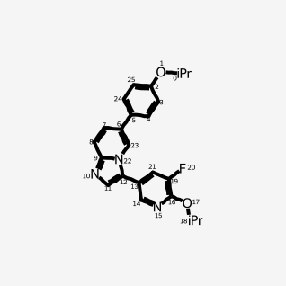 CC(C)Oc1ccc(-c2ccc3ncc(-c4cnc(OC(C)C)c(F)c4)n3c2)cc1